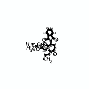 C=CCN1C(=O)CCC(N2C(=O)c3ccccc3C2=O)C(=O)N1CC(=O)OC(C)(C)C